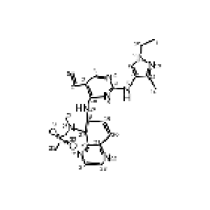 C=Cc1cnc(Nc2cn(CC)nc2C)nc1Nc1ccc2nccnc2c1N(C)S(C)(=O)=O